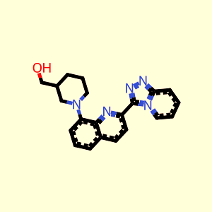 OCC1CCCN(c2cccc3ccc(-c4nnc5ccccn45)nc23)C1